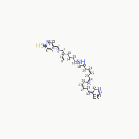 C=CC(C/C=C/c1ccc(S)nc1)CCCCNCCC/C=C\C/C=C\C/C=C\C/C=C\C/C=C\CC